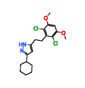 COc1cc(OC)c(Cl)c(CCc2cc(C3CCCCC3)n[nH]2)c1Cl